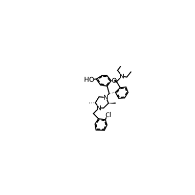 CCN(CC)C(=O)c1ccccc1[C@@H](c1cccc(O)c1)N1C[C@@H](C)N(Cc2ccccc2Cl)C[C@@H]1C